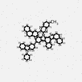 Cc1ccc2nc(-c3ccc4ccc5ccccc5c4c3)c(-n3c4ccc(-c5ccc6c(c5)c5ccccc5n6-c5ccccc5)cc4c4c5ccccc5c5c(sc6ccc7ccccc7c65)c43)nc2c1